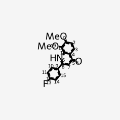 COc1ccc2c(=O)cc(-c3ccc(F)cc3)[nH]c2c1OC